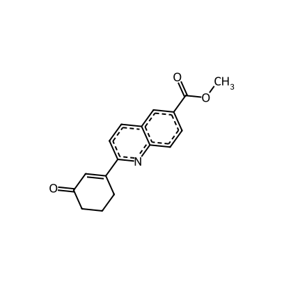 COC(=O)c1ccc2nc(C3=CC(=O)CCC3)ccc2c1